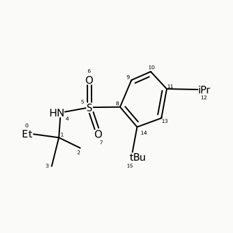 CCC(C)(C)NS(=O)(=O)c1ccc(C(C)C)cc1C(C)(C)C